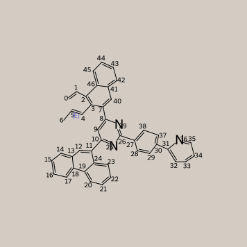 C=Cc1c(/C=C/C)c(-c2cc(-c3cc4ccccc4c4ccccc34)nc(-c3ccc(-c4ccccn4)cc3)n2)cc2ccccc12